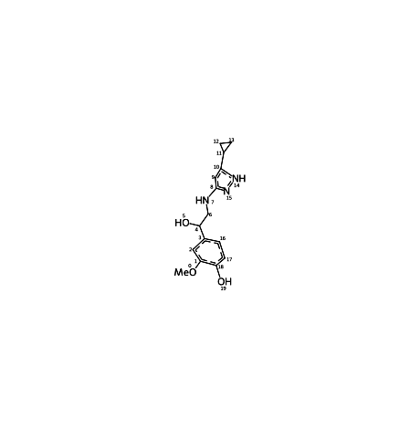 COc1cc(C(O)CNc2cc(C3CC3)[nH]n2)ccc1O